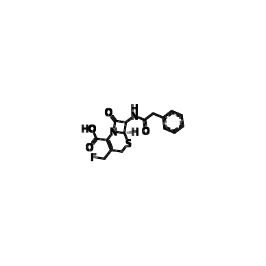 O=C(Cc1ccccc1)NC1C(=O)N2C(C(=O)O)=C(CF)CS[C@H]12